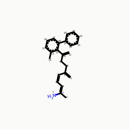 C=C(/C=C\C=C(\C)N)CCC(=C)c1c(C)cccc1-c1ccccc1